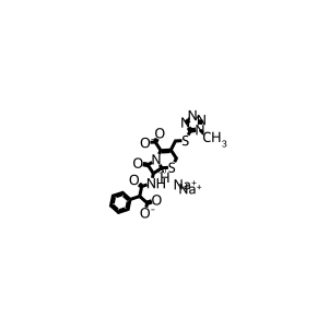 Cn1nnnc1SCC1=C(C(=O)[O-])N2C(=O)C(NC(=O)C(C(=O)[O-])c3ccccc3)[C@@H]2SC1.[Na+].[Na+]